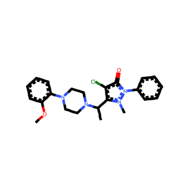 COc1ccccc1N1CCN(C(C)c2c(Cl)c(=O)n(-c3ccccc3)n2C)CC1